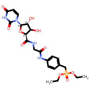 CCOP(=O)(Cc1ccc(NC(=O)CNC(=O)[C@H]2O[C@@H](n3ccc(=O)[nH]c3=O)[C@H](O)C2O)cc1)OCC